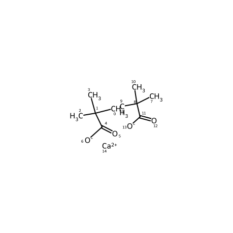 CC(C)(C)C(=O)[O-].CC(C)(C)C(=O)[O-].[Ca+2]